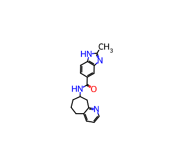 Cc1nc2cc(C(=O)NC3CCCc4cccnc4C3)ccc2[nH]1